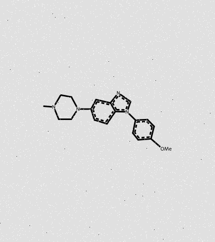 COc1ccc(-n2cnc3cc(N4CCN(C)CC4)ccc32)cc1